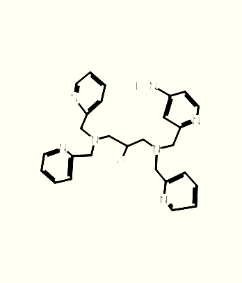 Nc1ccnc(CN(Cc2ccccn2)CC(O)CN(Cc2ccccn2)Cc2ccccn2)c1